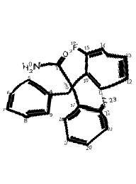 NC(=O)C(c1ccccc1)(c1ccccc1F)c1ccccc1F